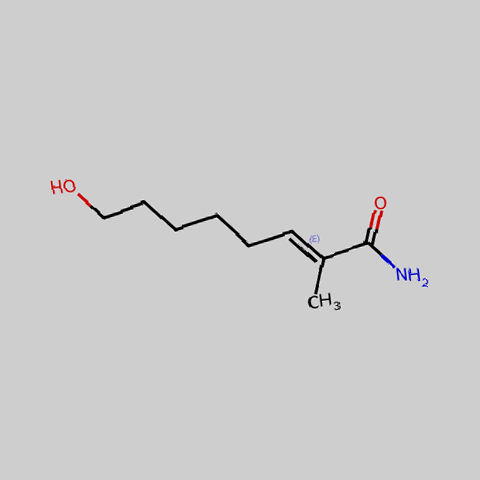 C/C(=C\CCCCCO)C(N)=O